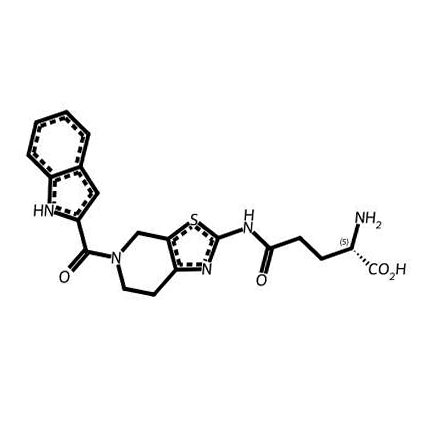 N[C@@H](CCC(=O)Nc1nc2c(s1)CN(C(=O)c1cc3ccccc3[nH]1)CC2)C(=O)O